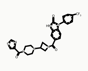 O=C(c1ccc2c(c1)[nH]c(=O)n2-c1ccc(C(F)(F)F)cc1)N1CC(N2CCN(C(=O)c3cscn3)CC2)C1